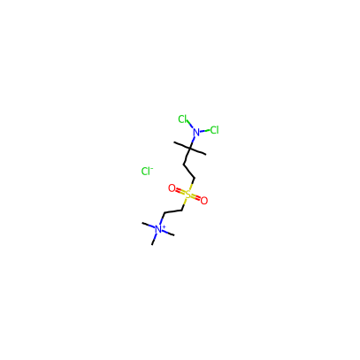 CC(C)(CCS(=O)(=O)CC[N+](C)(C)C)N(Cl)Cl.[Cl-]